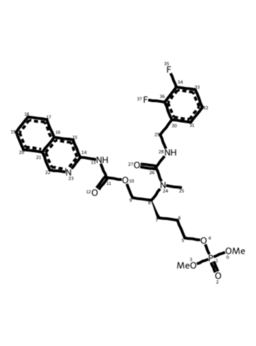 COP(=O)(OC)OCCC[C@@H](COC(=O)Nc1cc2ccccc2cn1)N(C)C(=O)NCc1cccc(F)c1F